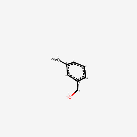 COc1cc[c]c(CO)c1